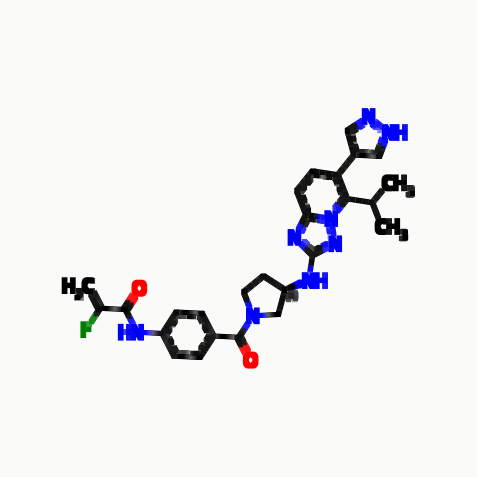 C=C(F)C(=O)Nc1ccc(C(=O)N2CC[C@@H](Nc3nc4ccc(-c5cn[nH]c5)c(C(C)C)n4n3)C2)cc1